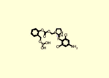 Nc1cc(Cl)c(/N=C2\NCCN2COC(=O)Oc2ccccc2CON(O)O)c(Cl)c1